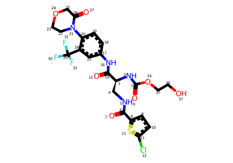 O=C(N[C@@H](CNC(=O)c1ccc(Cl)s1)C(=O)Nc1ccc(N2CCOCC2=O)c(C(F)(F)F)c1)OCCO